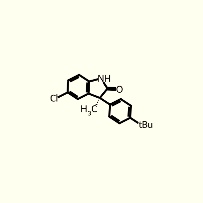 CC(C)(C)c1ccc([C@]2(C)C(=O)Nc3ccc(Cl)cc32)cc1